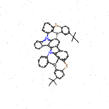 CC(C)(C)c1ccc2c(c1)B1c3c(cccc3-n3c4ccccc4c4c3c1cc1c3ccc5c6c3n(c14)-c1ccccc1B6c1cc(C(C)(C)C)ccc1S5)S2